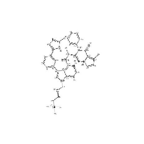 Cc1nnc(-c2cccc(-c3cn(COCC[Si](C)(C)C)c4ncnc(NC(C)c5nn6ccc(C)c6c(=O)n5-c5ccccc5)c34)c2)o1